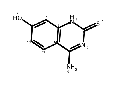 Nc1nc(=S)[nH]c2cc(O)ccc12